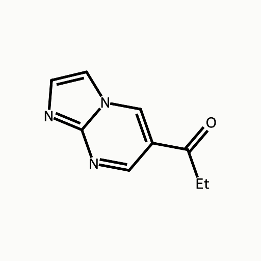 CCC(=O)c1cnc2nccn2c1